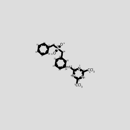 CCCCCc1nc(C(Cl)(Cl)Cl)nc(C(Cl)(Cl)Cl)n1.O=S(=O)(Cc1ccccc1)Cc1ccccc1